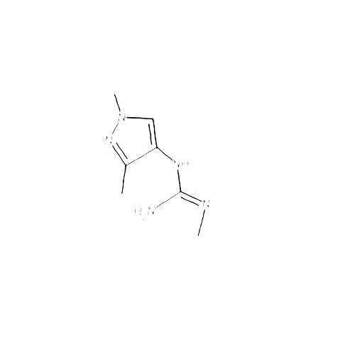 C/N=C(\N)Nc1cn(C)nc1C